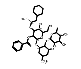 CCC1CC(C(=O)O)C[C@@H](O[C@@H]2OC(CO)[C@H](O)C(O[C@@H](CC3CCCCC3)C(=O)O)C2OC(=O)c2ccccc2)C1O[C@@H]1OC(C)[C@@H](O)C(O)C1O